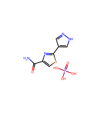 NC(=O)c1csc(-c2cn[nH]c2)n1.O=P(O)(O)O